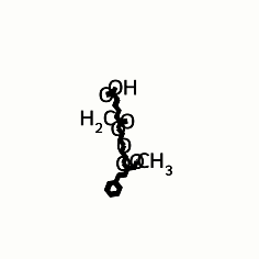 C=C(CC=CC(=O)O)C(=O)OCCOCCOC(C=Cc1ccccc1)COC